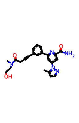 Cc1ccnn1-c1cc(C(N)=O)nc(-c2cccc(C#CCC(=O)N(C)CCO)c2)c1